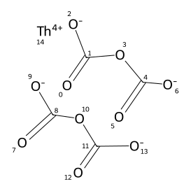 O=C([O-])OC(=O)[O-].O=C([O-])OC(=O)[O-].[Th+4]